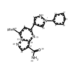 CNc1cc(-c2cnn(-c3ccccc3)c2)nc2c(C(N)=O)cnn12